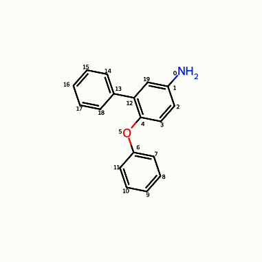 Nc1ccc(Oc2ccccc2)c(-c2ccccc2)c1